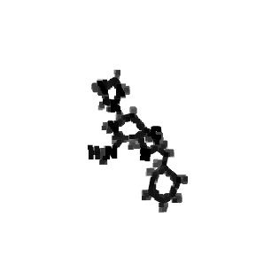 Nc1nc(-n2cncn2)cc2oc(Cc3ccccc3)nc12